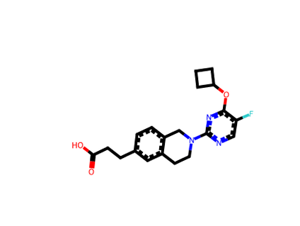 O=C(O)CCc1ccc2c(c1)CCN(c1ncc(F)c(OC3CCC3)n1)C2